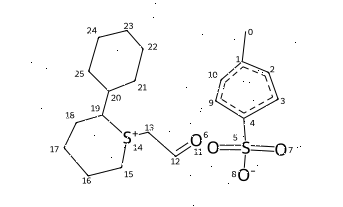 Cc1ccc(S(=O)(=O)[O-])cc1.O=CC[S+]1CCCCC1C1CCCCC1